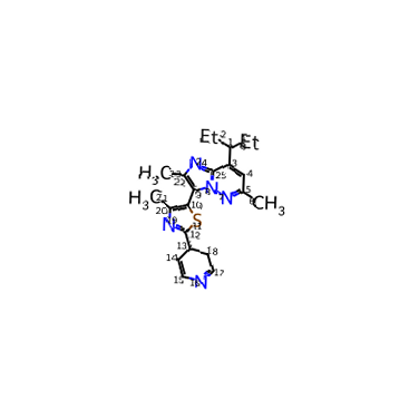 CCC(CC)c1cc(C)nn2c(-c3sc(C4C=CN=CC4)nc3C)c(C)nc12